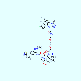 CNC[C@H](NC(=O)[C@@H]1C[C@@H](O)CN1C(=O)C(NC(=O)COCCCOCCNC(=O)C[C@@H]1N=C(c2ccc(Cl)cc2)c2c(sc(C)c2C)-n2c(C)nnc21)C(C)(C)C)c1ccc(-c2scnc2C)cc1